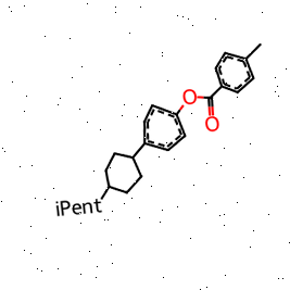 CCCC(C)C1CCC(c2ccc(OC(=O)c3ccc(C)cc3)cc2)CC1